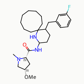 CO[C@H]1C[C@@H](C(=O)NC2CCC(Cc3cccc(F)c3)C3(CCCCCCCC3)N2)N(C)C1